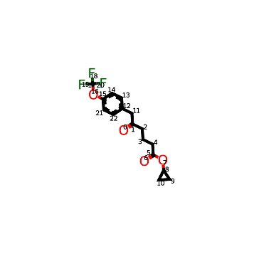 O=C(CCCC(=O)OC1CC1)Cc1ccc(OC(F)(F)F)cc1